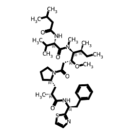 CC[C@H](C)[C@@H]([C@@H](CC(=O)N1CCC[C@H]1C[C@@H](C)C(=O)N[C@@H](Cc1ccccc1)c1nccs1)OC)N(C)C(=O)[C@@H](NC(=O)CC(C)C)C(C)C